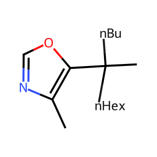 CCCCCCC(C)(CCCC)c1ocnc1C